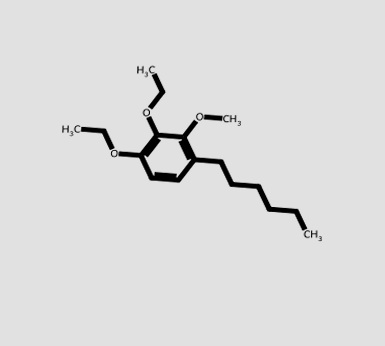 CCCCCCc1ccc(OCC)c(OCC)c1OC